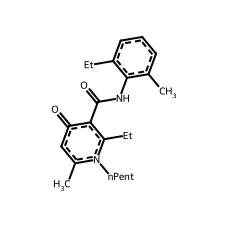 CCCCCn1c(C)cc(=O)c(C(=O)Nc2c(C)cccc2CC)c1CC